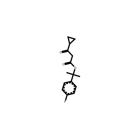 CC(C)(OC(=O)CC(=O)C1CC1)c1ccc(F)cc1